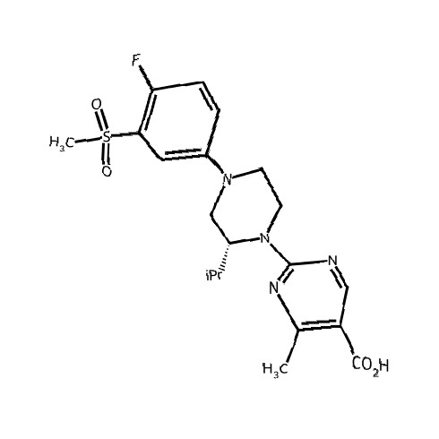 Cc1nc(N2CCN(c3ccc(F)c(S(C)(=O)=O)c3)C[C@H]2C(C)C)ncc1C(=O)O